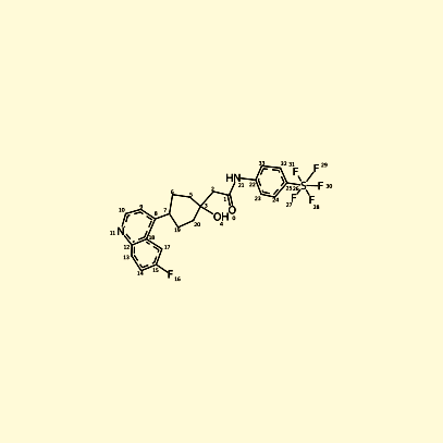 O=C(CC1(O)CCC(c2ccnc3ccc(F)cc23)CC1)Nc1ccc(S(F)(F)(F)(F)F)cc1